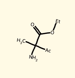 CCOC(=O)C(C)(N)C(C)=O